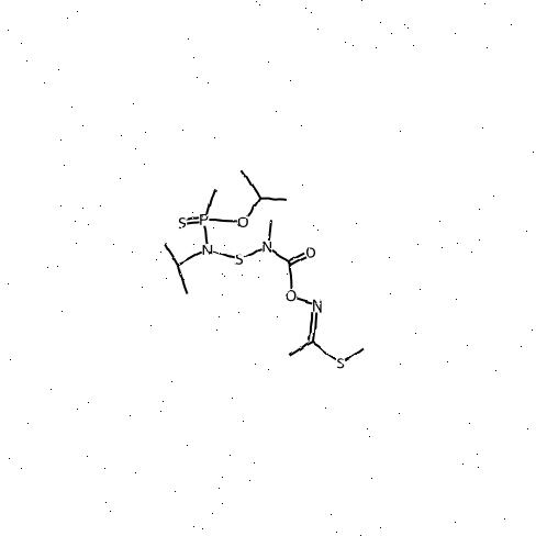 CSC(C)=NOC(=O)N(C)SN(C(C)C)P(C)(=S)OC(C)C